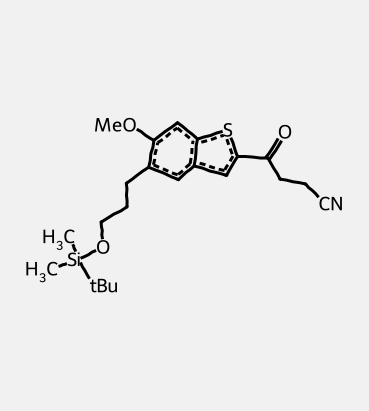 COc1cc2sc(C(=O)CCC#N)cc2cc1CCCO[Si](C)(C)C(C)(C)C